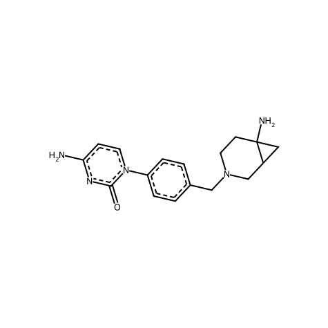 Nc1ccn(-c2ccc(CN3CCC4(N)CC4C3)cc2)c(=O)n1